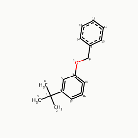 CC(C)(C)C1=CC(OCc2ccccc2)=C=C=C1